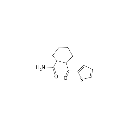 NC(=O)C1CCCCC1C(=O)c1cccs1